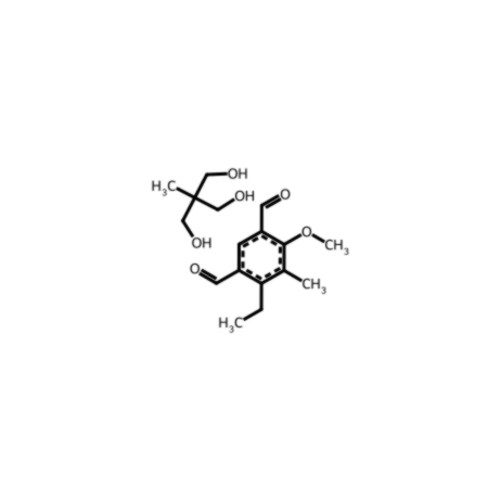 CC(CO)(CO)CO.CCc1c(C=O)cc(C=O)c(OC)c1C